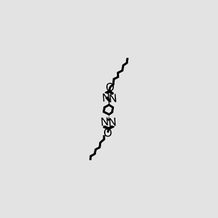 CCCCCCCCOc1cnc([C@H]2CC[C@H](c3ncc(OCCCCCCCC)cn3)CC2)nc1